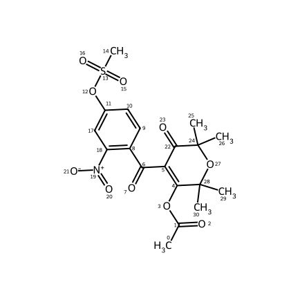 CC(=O)OC1=C(C(=O)c2ccc(OS(C)(=O)=O)cc2[N+](=O)[O-])C(=O)C(C)(C)OC1(C)C